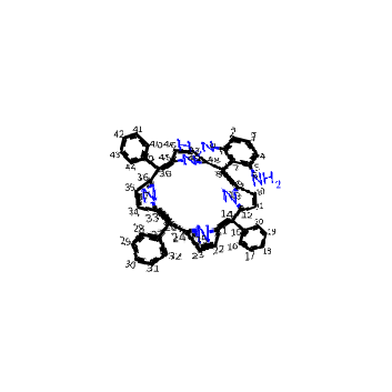 Nc1cccc(N)c1C1=C2C=CC(=N2)C(c2ccccc2)=C2C=CC(=N2)C(c2ccccc2)=C2C=CC(=N2)C(c2ccccc2)=C2C=CC1=N2